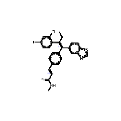 CC/C(=C(/c1ccc(/C=C/C(=O)NC)cc1)c1ccc2scnc2c1)c1ccc(F)cc1Cl